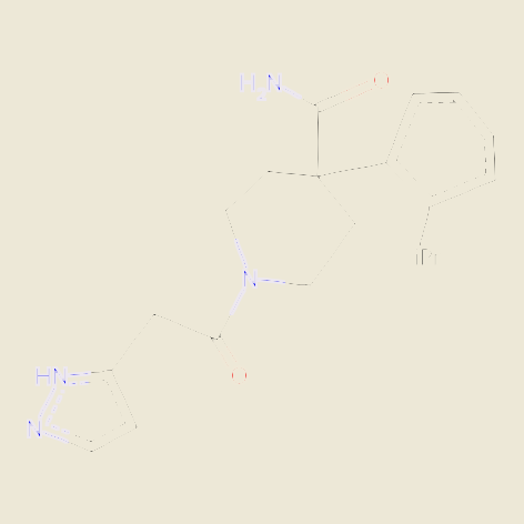 CC(C)c1ccccc1C1(C(N)=O)CCN(C(=O)Cc2ccn[nH]2)CC1